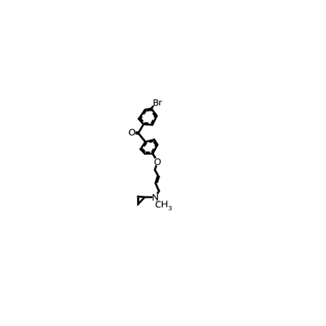 CN(CC=CCOc1ccc(C(=O)c2ccc(Br)cc2)cc1)C1CC1